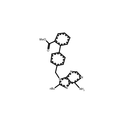 CCCCc1nc2c(N)ncnc2n1Cc1ccc(-c2ccccc2C(=O)OC)cc1